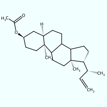 C=C[C@@H](C)[C@H]1CCC2C3CC[C@@H]4C[C@H](OC(C)=O)CC[C@]4(C)C3CC[C@@]21C